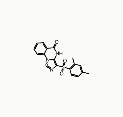 Cc1ccc(S(=O)(=O)c2nnn3c2[nH]c(=O)c2ccccc23)c(C)c1